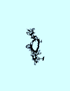 CO[C@]1(C)C[C@@H](C)CN(C)[C@H](C2CN(C(=O)CN(C)C)C2)COC(=O)C(C)(C)C(=O)[C@H](C)[C@H]1O[C@@H]1O[C@H](C)C[C@H](N(C)C)[C@H]1O